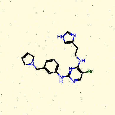 Brc1cnc(Nc2cccc(CN3CC=CC3)c2)nc1NCCc1c[nH]cn1